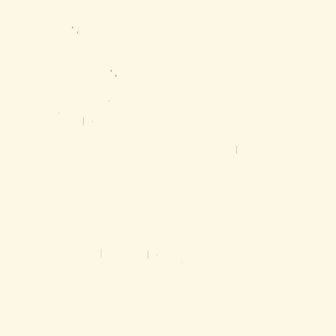 CC(C)c1cc(C=C2SC=CN(C#N)C2(C)C=O)cc(C(C)C)c1OC(=O)c1ccccc1